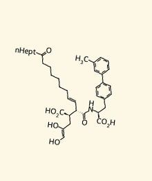 CCCCCCCC(=O)CCCCCC/C=C/[C@H](C(=O)N[C@@H](Cc1ccc(-c2cccc(C)c2)cc1)C(=O)O)[C@@H](CC(O)=CO)C(=O)O